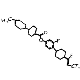 CC1CCC(C2CCC(C(=O)Oc3ccc(C4CCC(/C(F)=C/C(F)(F)F)CC4)c(F)c3)CC2)CC1